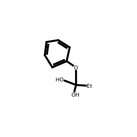 CCC(O)(O)Oc1ccccc1